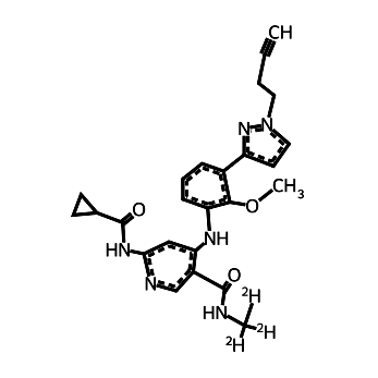 [2H]C([2H])([2H])NC(=O)c1cnc(NC(=O)C2CC2)cc1Nc1cccc(-c2ccn(CCC#C)n2)c1OC